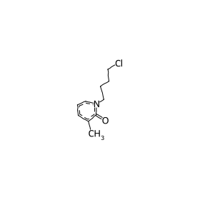 Cc1cccn(CCCCCl)c1=O